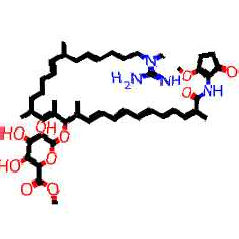 COC(=O)C1OC(OC(C(C)=CC(C)CCCC=CC(C)CC=CCCCN(C)C(=N)N)C(C)C=CC=CC=CC=CC=C(C)C(=O)NC2=C(OC)CCC2=O)C(O)C(O)C1O